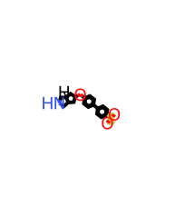 CS(=O)(=O)c1ccc(-c2ccc(OC3CC4CNC[C@@H]4C3)cc2)cc1